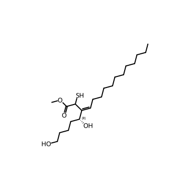 CCCCCCCCCCCC=C(C(S)C(=O)OC)[C@H](O)CCCCO